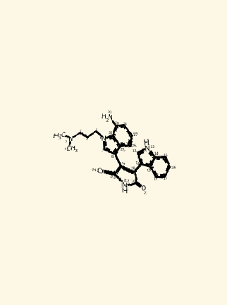 CN(C)CCCn1cc(C2=C(c3c[nH]c4ccccc34)C(=O)NC2=O)c2cccc(N)c21